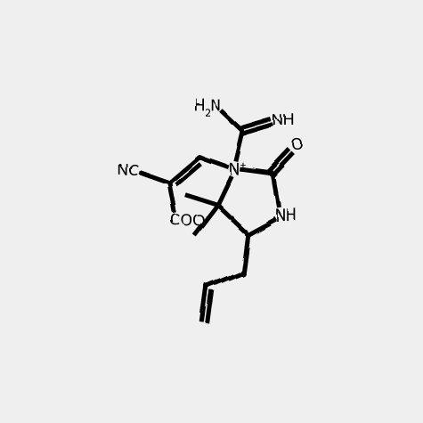 C=CCC1NC(=O)[N+](C=C(C#N)C(=O)[O-])(C(=N)N)C1(C)C